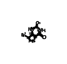 O=c1[nH]c(=O)c2scc(Br)c2[nH]1